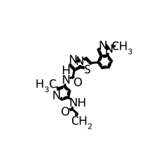 C=CC(=O)Nc1cnc(C)c(NC(=O)c2cnn3cc(-c4cccc5c4cnn5C)sc23)c1